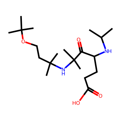 CC(C)NC(CCC(=O)O)C(=O)C(C)(C)NC(C)(C)CCOC(C)(C)C